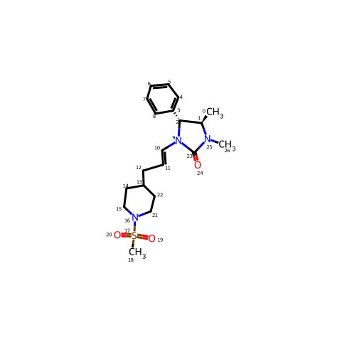 C[C@@H]1[C@@H](c2ccccc2)N(C=CCC2CCN(S(C)(=O)=O)CC2)C(=O)N1C